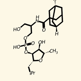 CC(C)C[C@H]1O[C@@H](C)[C@H](O)[C@@H]1OP(=O)(O)OCC(CO)NC(=O)C12CC3C[C@H](C1)C[C@H](C3)C2